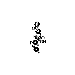 O=C(NO)[C@H](CC1CCN(C(=O)N2CCOCC2)CC1)NS(=O)(=O)c1cc(F)c(Oc2ccc(F)cc2)c(F)c1